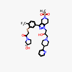 CS(=O)(=O)N1CCc2c(c(-c3ccc(C(F)(F)F)c(SCC(=O)N4CC[C@H](O)C4)c3)nn2CC(O)CN2CCC(c3ccccn3)CC2)C1